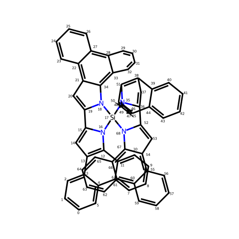 c1ccc2c(c1)c1ccccc1c1c2cc2n1[Si]1(n3c-2cc2c4ccccc4c4ccccc4c23)n2c(cc3c4ccccc4c4ccccc4c32)-c2cc3c4ccccc4c4ccccc4c3n21